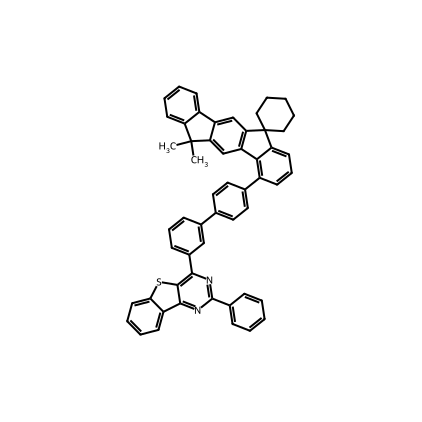 CC1(C)c2ccccc2-c2cc3c(cc21)-c1c(-c2ccc(-c4cccc(-c5nc(-c6ccccc6)nc6c5sc5ccccc56)c4)cc2)cccc1C31CCCCC1